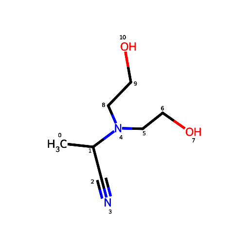 CC(C#N)N(CCO)CCO